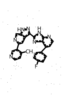 Cc1ccncc1-c1cc2c(-c3nc4c(-c5ccc(F)cc5)ccnc4[nH]3)n[nH]c2cn1